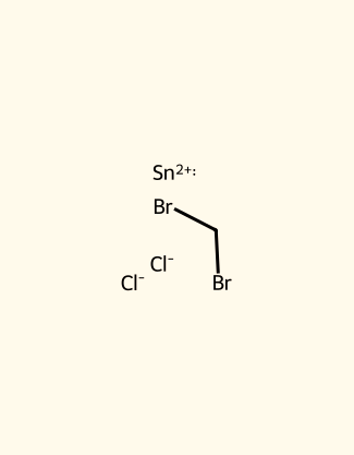 BrCBr.[Cl-].[Cl-].[Sn+2]